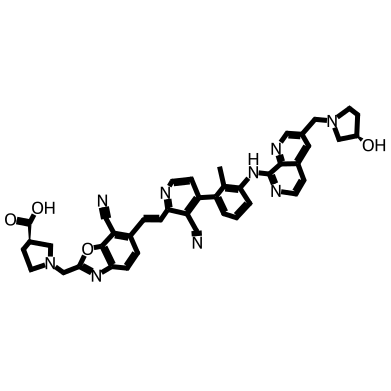 Cc1c(Nc2nccc3cc(CN4CC[C@@H](O)C4)cnc23)cccc1-c1ccnc(/C=C/c2ccc3nc(CN4CC[C@@H](C(=O)O)C4)oc3c2C#N)c1C#N